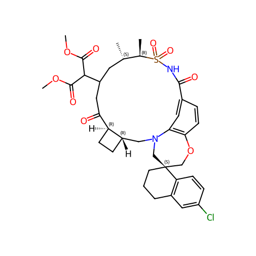 COC(=O)C(C(=O)OC)C1CC(=O)[C@@H]2CC[C@H]2CN2C[C@@]3(CCCc4cc(Cl)ccc43)COc3ccc(cc32)C(=O)NS(=O)(=O)[C@H](C)[C@@H](C)C1